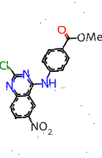 COC(=O)c1ccc(Nc2nc(Cl)nc3ccc([N+](=O)[O-])cc23)cc1